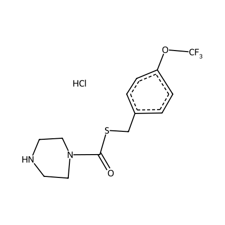 Cl.O=C(SCc1ccc(OC(F)(F)F)cc1)N1CCNCC1